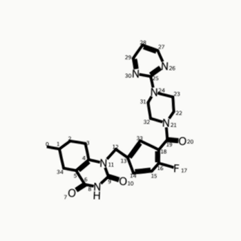 CC1CCc2c(c(=O)[nH]c(=O)n2Cc2ccc(F)c(C(=O)N3CCN(c4ncccn4)CC3)c2)C1